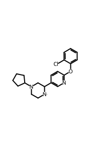 Clc1ccccc1Oc1ccc(C2CN(C3CCCC3)CC[N]2)cn1